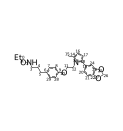 CCONCCCc1ccc(OCCn2c(C)ccc2-c2ccc3c(c2)OCO3)cc1